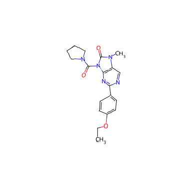 CCOc1ccc(-c2ncc3c(n2)n(C(=O)N2CCCC2)c(=O)n3C)cc1